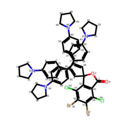 O=C1OC(C=C(c2ccc(N3CCCC3)cc2)c2ccc(N3CCCC3)cc2)(C=C(c2ccc(N3CCCC3)cc2)c2ccc(N3CCCC3)cc2)c2c(Cl)c(Br)c(Br)c(Cl)c21